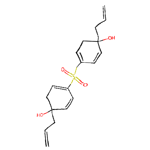 C=CCC1(O)C=CC(S(=O)(=O)C2=CCC(O)(CC=C)C=C2)=CC1